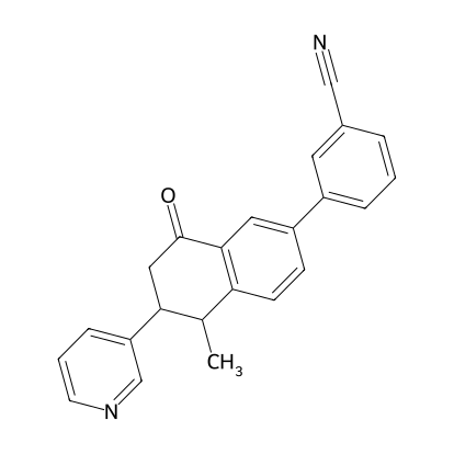 CC1c2ccc(-c3cccc(C#N)c3)cc2C(=O)CC1c1cccnc1